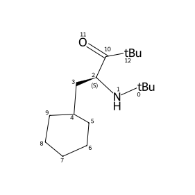 CC(C)(C)N[C@@H](CC1CCCCC1)C(=O)C(C)(C)C